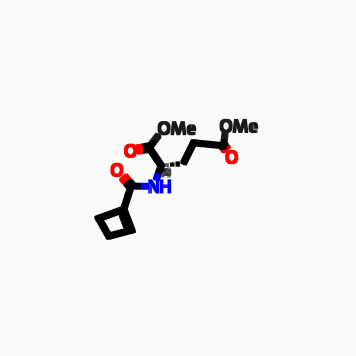 COC(=O)CC[C@H](NC(=O)C1=CCC1)C(=O)OC